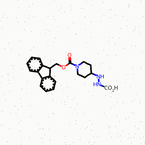 O=C(O)NNC1CCN(C(=O)OCC2c3ccccc3-c3ccccc32)CC1